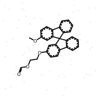 COc1ccc2c(c1)C1(c3ccccc3-2)c2ccccc2-c2ccc(OCCOC=O)cc21